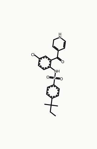 CCC(C)(C)c1ccc(S(=O)(=O)Nc2ccc(Cl)cc2C(=O)C2=CCNC=C2)cc1